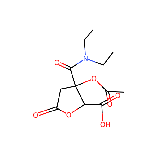 CCN(CC)C(=O)C1(OC(C)=O)CC(=O)OC1C(=O)O